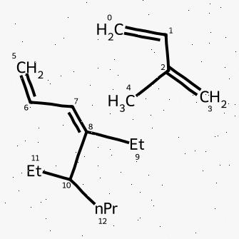 C=CC(=C)C.C=CC=C(CC)C(CC)CCC